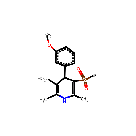 CC1=C(C(=O)O)C(c2cccc(OC(F)(F)F)c2)C(S(=O)(=O)C(C)C)=C(C)N1